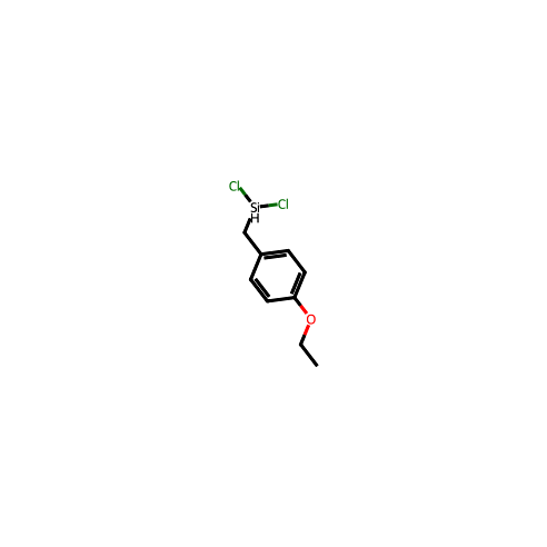 CCOc1ccc(C[SiH](Cl)Cl)cc1